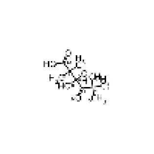 CC(C)(C)C(=O)C(O)(O)C(C)(C)C(=O)O